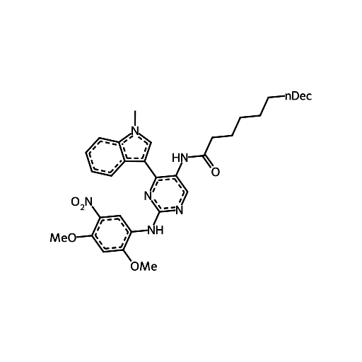 CCCCCCCCCCCCCCCC(=O)Nc1cnc(Nc2cc([N+](=O)[O-])c(OC)cc2OC)nc1-c1cn(C)c2ccccc12